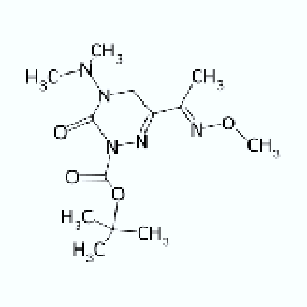 CO/N=C(\C)C1=NN(C(=O)OC(C)(C)C)C(=O)N(N(C)C)C1